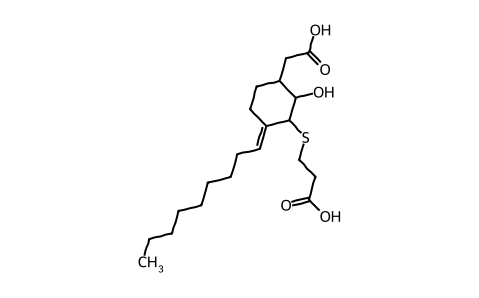 CCCCCCCCC=C1CCC(CC(=O)O)C(O)C1SCCC(=O)O